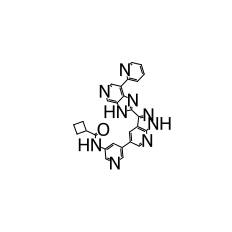 O=C(Nc1cncc(-c2cnc3[nH]nc(-c4nc5c(-c6ccccn6)cncc5[nH]4)c3c2)c1)C1CCC1